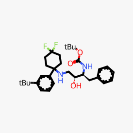 CC(C)(C)OC(=O)N[C@@H](Cc1ccccc1)[C@H](O)CNC1(c2cccc(C(C)(C)C)c2)CCC(F)(F)CC1